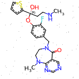 CNCC[C@@](O)(Oc1ccc(CN2CCN(C)c3ncncc3C2=O)cc1F)c1cccs1